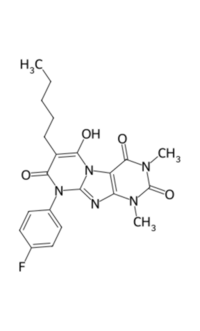 CCCCCc1c(O)n2c3c(=O)n(C)c(=O)n(C)c3nc2n(-c2ccc(F)cc2)c1=O